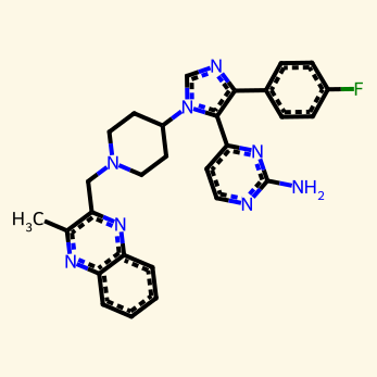 Cc1nc2ccccc2nc1CN1CCC(n2cnc(-c3ccc(F)cc3)c2-c2ccnc(N)n2)CC1